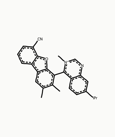 Cc1cc2c(oc3c(C#N)cccc32)c(-c2c3ccc(C(C)C)cc3nc[n+]2C)c1C